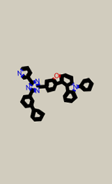 C1=CC2C(c3ccccc3N2c2ccccc2)c2c1oc1cc(-c3nc(-c4cccnc4)nc(-c4cccc(-c5ccccc5)c4)n3)ccc21